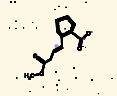 COC(=O)C/C=C/c1ccccc1[N+](=O)[O-]